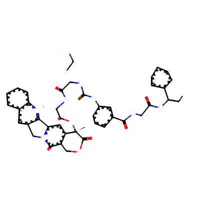 CC[C@@]1(OC(=O)[C@@H](NC(=O)[C@H](CCC(=O)O)NC(=S)Nc2cccc(C(=O)NCC(=O)NC(CC(=O)O)c3ccccc3)c2)C(C)C)C(=O)OCc2c1cc1n(c2=O)Cc2cc3ccccc3nc2-1